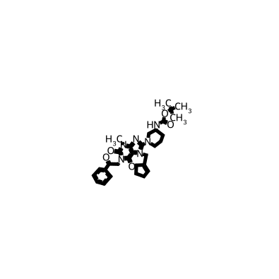 Cn1c(=O)n(CC(=O)c2ccccc2)c(=O)c2c1nc(N1CCCC(NC(=O)OC(C)(C)C)C1)n2CC1=CCCC1